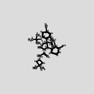 CC(C)(C)C[C@H]1N[C@@H](C(=O)N[C@H]2C[C@@](C)(O)C2)[C@H](c2cccc(F)c2F)[C@@]12C(=O)Nc1cc(Cl)ccc12